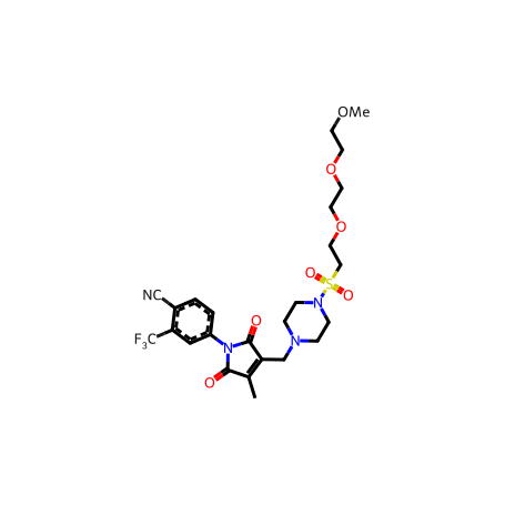 COCCOCCOCCS(=O)(=O)N1CCN(CC2=C(C)C(=O)N(c3ccc(C#N)c(C(F)(F)F)c3)C2=O)CC1